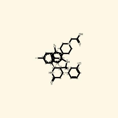 O=C(O)CN1CCC(Oc2ccc(I)cc2[C@@H]2NC(=O)C[C@@H](C3C=CC=C(Cl)C3)[C@]23C(=O)Nc2cc(Cl)ccc23)CC1